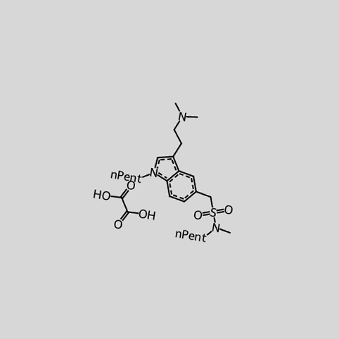 CCCCCN(C)S(=O)(=O)Cc1ccc2c(c1)c(CCN(C)C)cn2CCCCC.O=C(O)C(=O)O